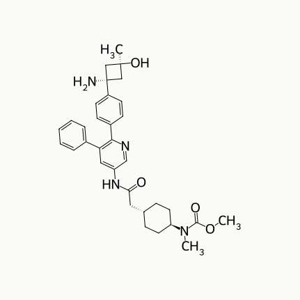 COC(=O)N(C)[C@H]1CC[C@H](CC(=O)Nc2cnc(-c3ccc([C@]4(N)C[C@](C)(O)C4)cc3)c(-c3ccccc3)c2)CC1